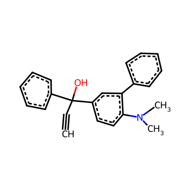 C#CC(O)(c1ccccc1)c1ccc(N(C)C)c(-c2ccccc2)c1